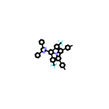 Cc1ccc(-c2ccc3c(c2)c2cc(-c4ccc(C)cc4)ccc2n3-c2c(-c3ccc(C(F)(F)F)cc3)cc(-c3nc(-c4ccccc4)cc(-c4ccccc4)n3)cc2-c2ccc(C(F)(F)F)cc2)cc1